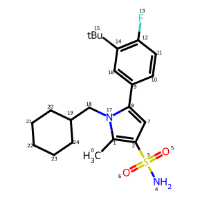 Cc1c(S(N)(=O)=O)cc(-c2ccc(F)c(C(C)(C)C)c2)n1CC1CCCCC1